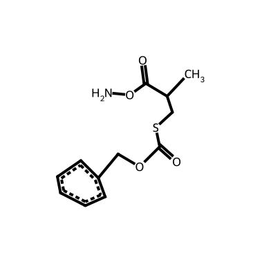 CC(CSC(=O)OCc1ccccc1)C(=O)ON